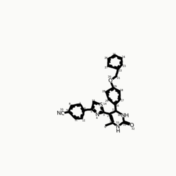 CC1=C(c2nc(-c3ccc(C#N)cc3)cs2)C(c2ccc(OCc3ccccc3)cc2)NC(=O)N1